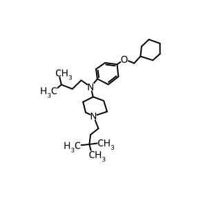 CC(C)CCN(c1ccc(OCC2CCCCC2)cc1)C1CCN(CCC(C)(C)C)CC1